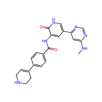 CNc1cc(-c2c[nH]c(=O)c(NC(=O)c3ccc(C4=CCNCC4)cc3)c2)ncn1